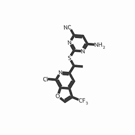 CC(Sc1nc(N)cc(C#N)n1)c1cc2c(C(F)(F)F)coc2c(Cl)n1